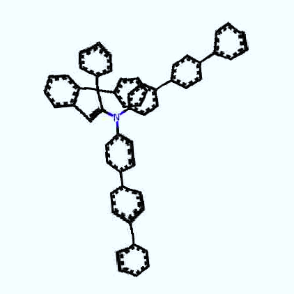 C1=C(N(c2ccc(-c3ccc(-c4ccccc4)cc3)cc2)c2ccc(-c3ccc(-c4ccccc4)cc3)cc2)C(c2ccccc2)(c2ccccc2)c2ccccc21